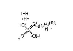 O=S(O)(O)=S.[HH].[HH].[HH].[HH].[HH]